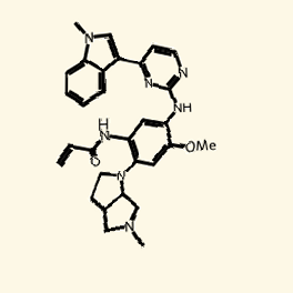 C=CC(=O)Nc1cc(Nc2nccc(-c3cn(C)c4ccccc34)n2)c(OC)cc1N1CCC2CN(C)CC21